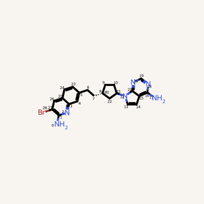 Nc1nc2cc(CC[C@@H]3CCC(n4ccc5c(N)ncnc54)C3)ccc2cc1Br